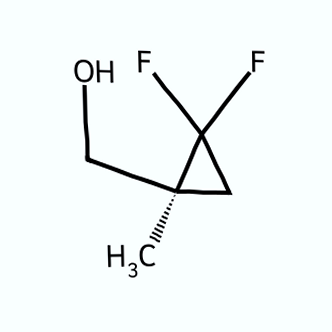 C[C@@]1(CO)CC1(F)F